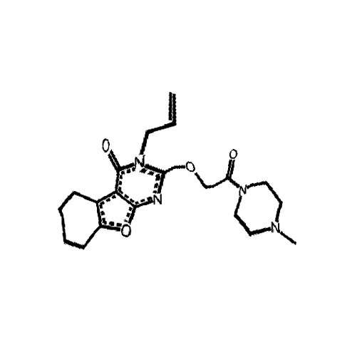 C=CCn1c(OCC(=O)N2CCN(C)CC2)nc2oc3c(c2c1=O)CCCC3